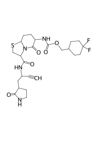 C#CC(CC1CCNC1=O)NC(=O)C1CSC2CCC(NC(=O)OCC3CCC(F)(F)CC3)C(=O)N21